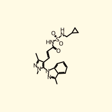 Cc1nn(C)c(-n2nc(C)c3ccccc32)c1C=CC(=O)NS(=O)(=O)NCC1CC1